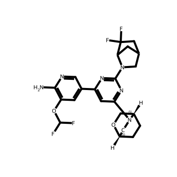 Nc1ncc(-c2cc(N3C[C@@H]4CC[C@H]3CO4)nc(N3CC4CC3C(F)(F)C4)n2)cc1OC(F)F